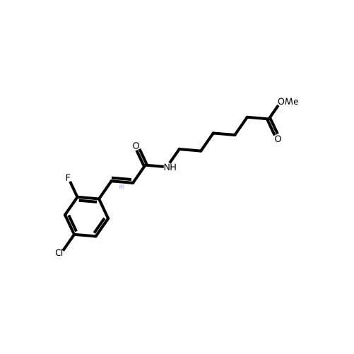 COC(=O)CCCCCNC(=O)/C=C/c1ccc(Cl)cc1F